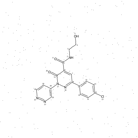 O=C(NCCO)c1cc(-c2ccc(Cl)cc2)nn(-c2ccnnc2)c1=O